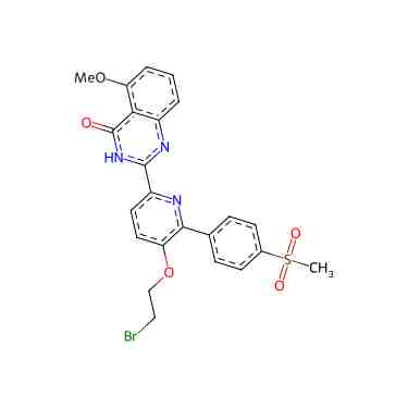 COc1cccc2nc(-c3ccc(OCCBr)c(-c4ccc(S(C)(=O)=O)cc4)n3)[nH]c(=O)c12